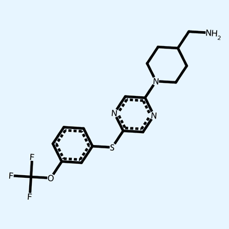 NCC1CCN(c2cnc(Sc3cccc(OC(F)(F)F)c3)cn2)CC1